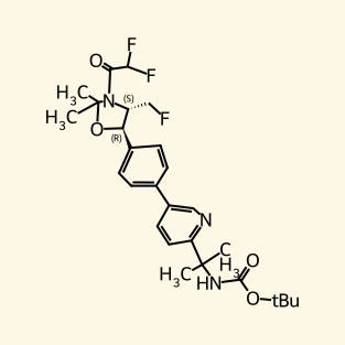 CC(C)(C)OC(=O)NC(C)(C)c1ccc(-c2ccc([C@H]3OC(C)(C)N(C(=O)C(F)F)[C@@H]3CF)cc2)cn1